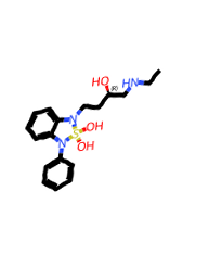 CCNC[C@H](O)CCN1c2ccccc2N(c2ccccc2)S1(O)O